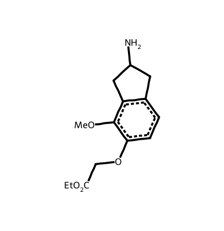 CCOC(=O)COc1ccc2c(c1OC)CC(N)C2